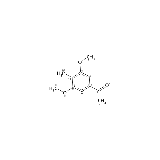 COc1cc(C(C)=O)cc(OC)c1P